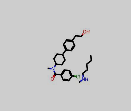 CCCCCNC.CN(C(=O)c1ccc(Cl)cc1)C1CCC(c2ccc(CCO)cc2)CC1